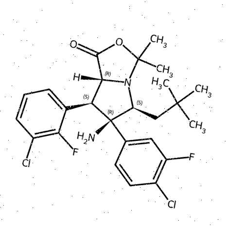 CC(C)(C)C[C@@H]1N2[C@@H](C(=O)OC2(C)C)[C@H](c2cccc(Cl)c2F)[C@@]1(N)c1ccc(Cl)c(F)c1